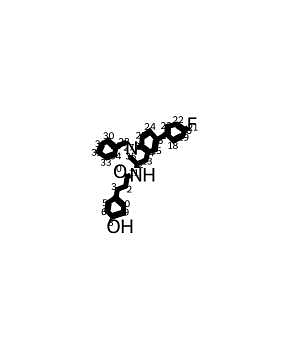 O=C(CCc1ccc(O)cc1)NC1Cc2cc(-c3ccc(F)cc3)ccc2N(Cc2ccccc2)C1